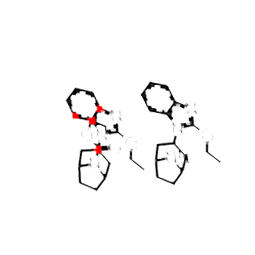 CCOc1nc2ccccc2n1C1CC2CCC(C1)N2.CCOc1nc2ccccc2n1C1CC2CCC(C1)N2C(=O)OC(C)(C)C